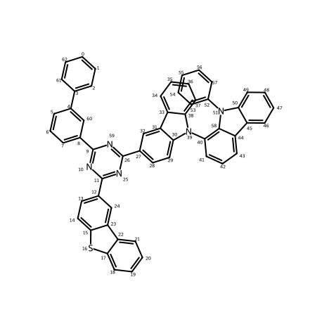 c1ccc(-c2cccc(-c3nc(-c4ccc5sc6ccccc6c5c4)nc(-c4ccc5c(c4)c4ccccc4n5-c4cccc5c6ccccc6n(-c6ccccc6)c45)n3)c2)cc1